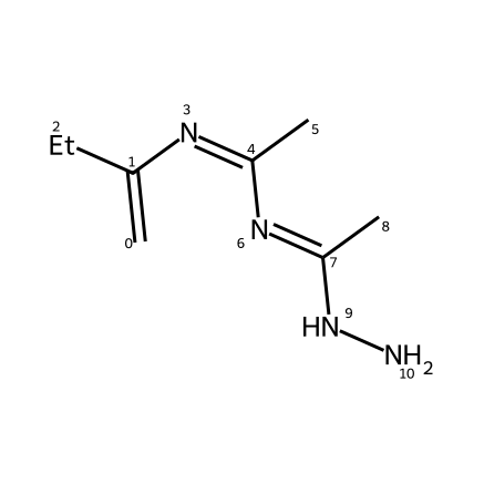 C=C(CC)/N=C(C)\N=C(/C)NN